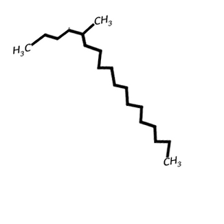 CCC[CH]C(C)CCCCCCCCCCCCC